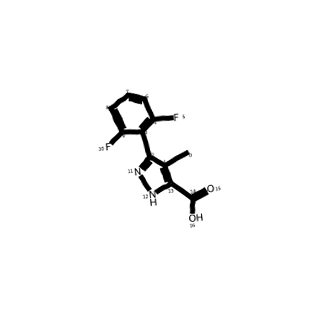 Cc1c(-c2c(F)cccc2F)n[nH]c1C(=O)O